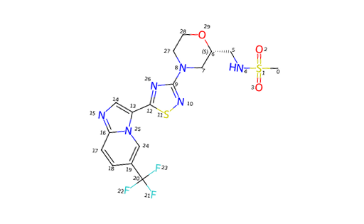 CS(=O)(=O)NC[C@@H]1CN(c2nsc(-c3cnc4ccc(C(F)(F)F)cn34)n2)CCO1